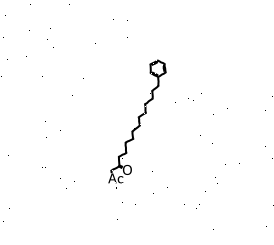 CC(=O)CC(=O)CCCCCCCCCCCCc1ccccc1